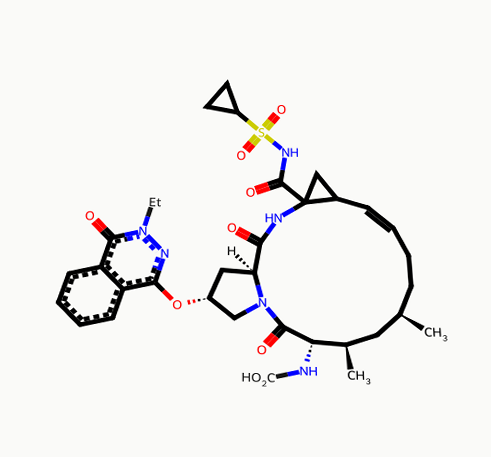 CCn1nc(O[C@@H]2C[C@H]3C(=O)NC4(C(=O)NS(=O)(=O)C5CC5)CC4/C=C\CC[C@@H](C)C[C@@H](C)[C@H](NC(=O)O)C(=O)N3C2)c2ccccc2c1=O